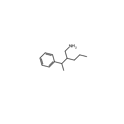 CCCC(CN)C(C)c1ccccc1